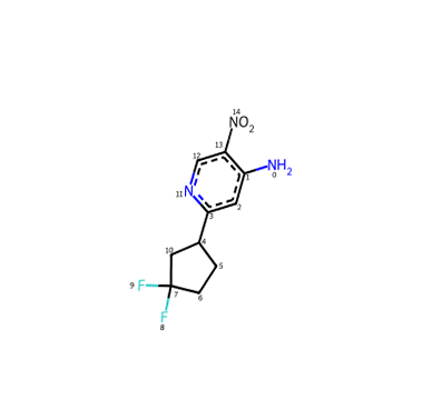 Nc1cc(C2CCC(F)(F)C2)ncc1[N+](=O)[O-]